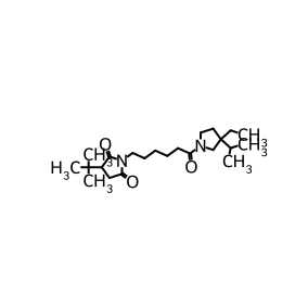 CCC1(C(C)C)CCN(C(=O)CCCCCN2C(=O)CC(C(C)(C)C)C2=O)C1